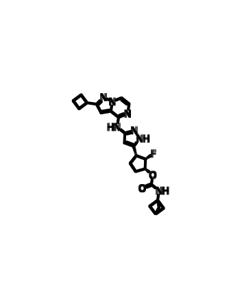 O=C(NC12CC(C1)C2)O[C@H]1CC[C@@H](c2cc(Nc3nccn4nc(C5CCC5)cc34)n[nH]2)[C@H]1F